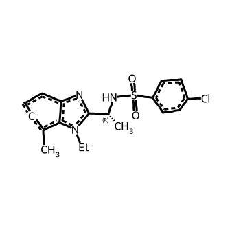 CCn1c([C@@H](C)NS(=O)(=O)c2ccc(Cl)cc2)nc2cccc(C)c21